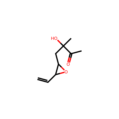 C=CC1OC1CC(C)(O)C(C)=O